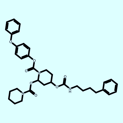 O=C(NCCCCc1ccccc1)OC1CCN(C(=O)Oc2ccc(Oc3ccccc3)cc2)C(OC(=O)N2CCCCC2)C1